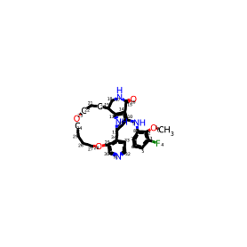 COc1c(F)cccc1Nc1c2[nH]c3c1C(=O)NCC3CCCOCCCCOc1cnccc1-2